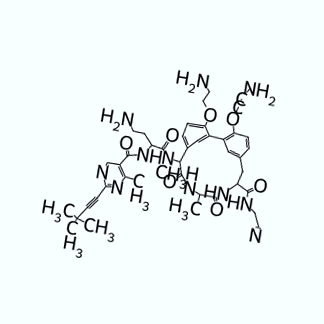 Cc1nc(C#CC(C)(C)C)ncc1C(=O)NC(CCN)C(=O)N(C)C1C(=O)NC(C)C(=O)NC(C(=O)NCC#N)Cc2ccc(OCCN)c(c2)-c2cc1ccc2OCCN